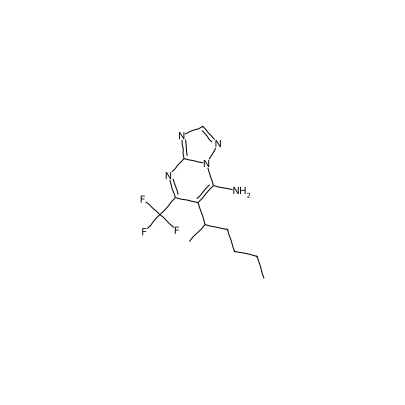 CCCCC(C)c1c(C(F)(F)F)nc2ncnn2c1N